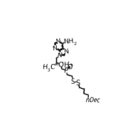 CCCCCCCCCCCCCCSSCC[PH](=O)CO[C@H](C)Cn1cnc2c(N)ncnc21